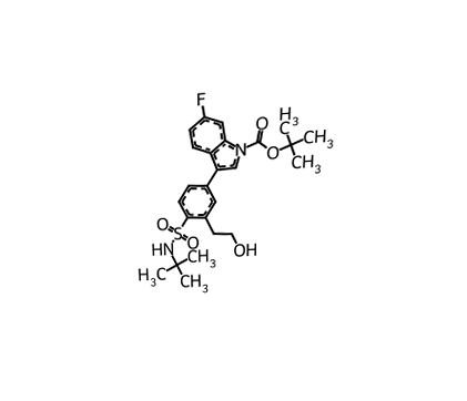 CC(C)(C)NS(=O)(=O)c1ccc(-c2cn(C(=O)OC(C)(C)C)c3cc(F)ccc23)cc1CCO